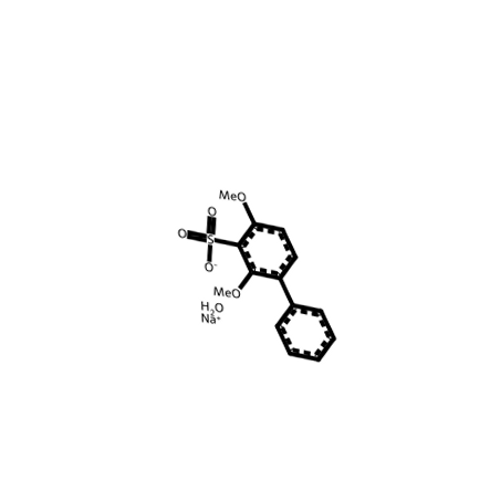 COc1ccc(-c2ccccc2)c(OC)c1S(=O)(=O)[O-].O.[Na+]